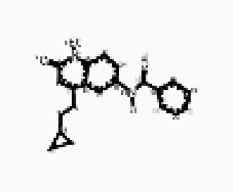 CCn1c(=O)cc(CCC2CC2)c2cc(N(C)C(=O)c3ccccc3)ccc21